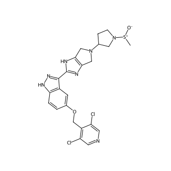 C[S+]([O-])N1CCC(N2Cc3nc(-c4n[nH]c5ccc(OCc6c(Cl)cncc6Cl)cc45)[nH]c3C2)C1